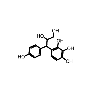 OCC(O)C(c1ccc(O)cc1)c1ccc(O)c(O)c1O